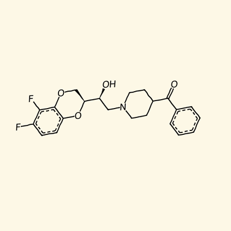 O=C(c1ccccc1)C1CCN(C[C@H](O)[C@@H]2COc3c(ccc(F)c3F)O2)CC1